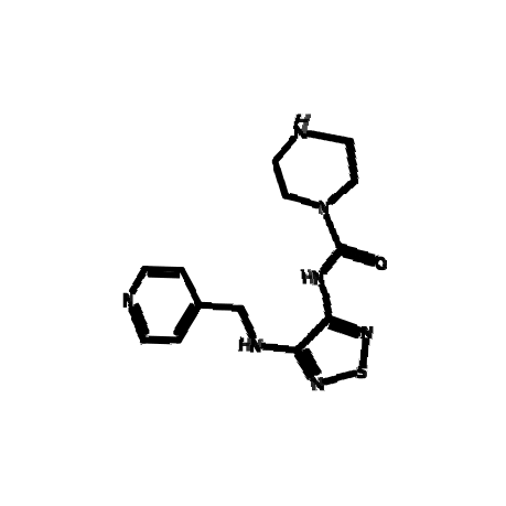 O=C(Nc1nsnc1NCc1ccncc1)N1CCNCC1